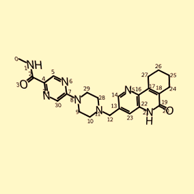 CNC(=O)c1cnc(N2CCN(Cc3cnc4c5c(c(=O)[nH]c4c3)CCCC5)CC2)cn1